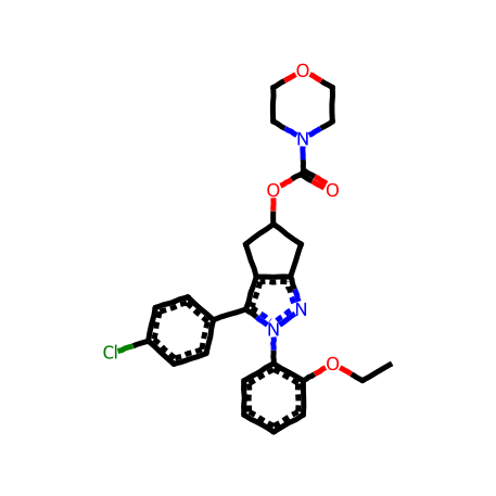 CCOc1ccccc1-n1nc2c(c1-c1ccc(Cl)cc1)CC(OC(=O)N1CCOCC1)C2